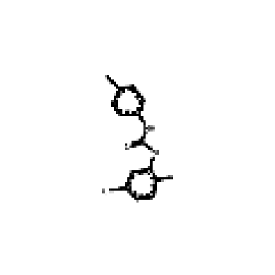 Cc1ccc(NC(=O)Nc2cc(Cl)ccc2C)cc1